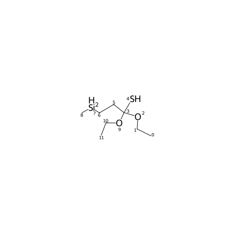 CCOC(S)(CC[SiH2]C)OCC